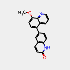 COc1ccc(-c2ccc3[nH]c(=O)ccc3c2)c2cccnc12